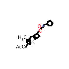 CC(=O)OCC1CC2CC1C(C)C2CC1C(C)C2CC(COC(=O)/C=C/c3ccccc3)C1C2